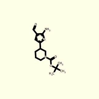 CC(C)(C)OC(=O)N1CCCC(c2cc(C=O)c(N)s2)C1